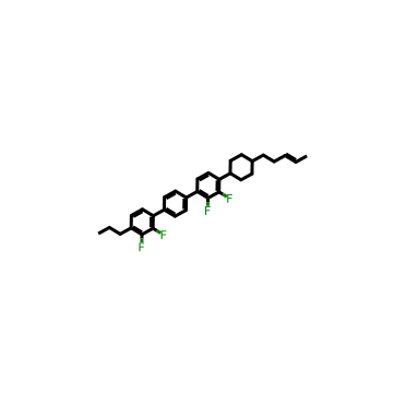 C/C=C/CCC1CCC(c2ccc(-c3ccc(-c4ccc(CCC)c(F)c4F)cc3)c(F)c2F)CC1